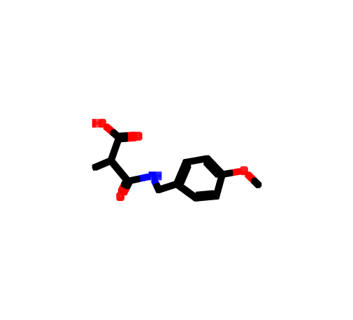 COc1ccc(CNC(=O)C(C)C(=O)O)cc1